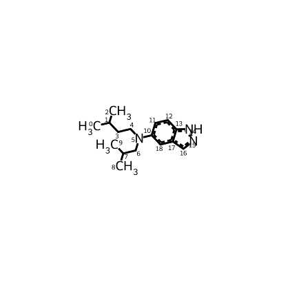 CC(C)CCN(CC(C)C)c1ccc2[nH]ncc2c1